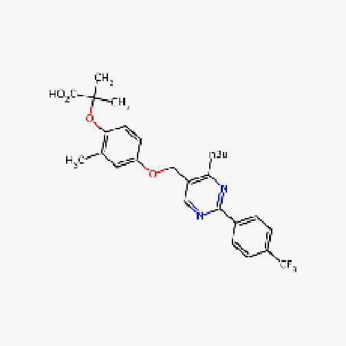 CCCCc1nc(-c2ccc(C(F)(F)F)cc2)ncc1COc1ccc(OC(C)(C)C(=O)O)c(C)c1